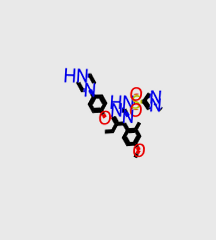 CCc1c(Oc2ccc(N3CCNCC3)cc2)nc(NS(=O)(=O)c2cnn(C)c2)nc1-c1ccc(OC)cc1C